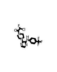 O=C(C(F)Cl)N1CCN(c2nccnc2Nc2ccc(C(F)(F)F)cc2)CC1